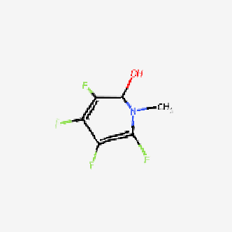 CN1C(F)=C(F)C(F)=C(F)C1O